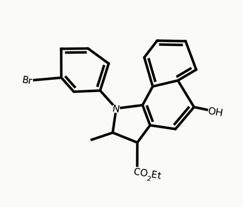 CCOC(=O)C1c2cc(O)c3ccccc3c2N(c2cccc(Br)c2)C1C